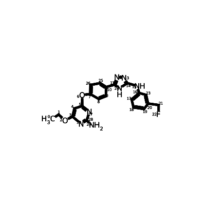 CCOc1cc(Oc2ccc(-c3nnc(Nc4cccc(CF)c4)[nH]3)cc2)nc(N)n1